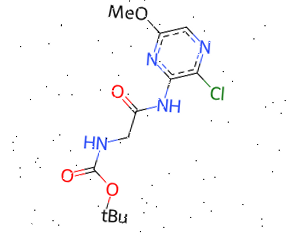 COc1cnc(Cl)c(NC(=O)CNC(=O)OC(C)(C)C)n1